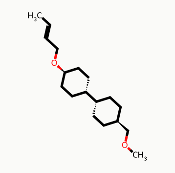 CC=CCO[C@H]1CC[C@H]([C@H]2CC[C@H](COC)CC2)CC1